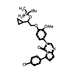 COc1cc(-n2cnc3ccc(-c4ccc(Cl)cc4)n3c2=O)ccc1OCC(O[Si](C)(C)C(C)(C)C)C1CC1